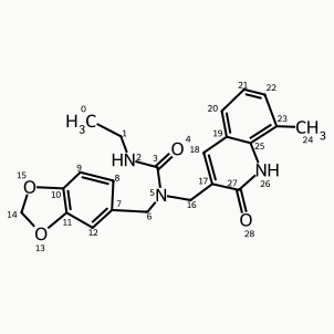 CCNC(=O)N(Cc1ccc2c(c1)OCO2)Cc1cc2cccc(C)c2[nH]c1=O